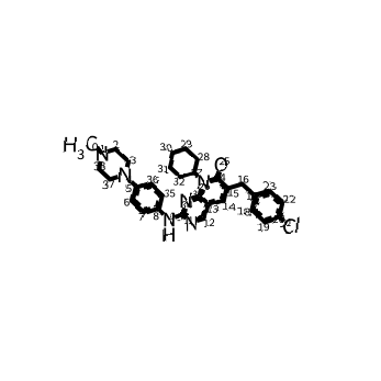 CN1CCN(c2ccc(Nc3ncc4cc(Cc5ccc(Cl)cc5)c(=O)n(C5CCCCC5)c4n3)cc2)CC1